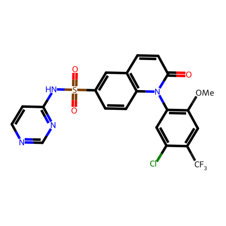 COc1cc(C(F)(F)F)c(Cl)cc1-n1c(=O)ccc2cc(S(=O)(=O)Nc3ccncn3)ccc21